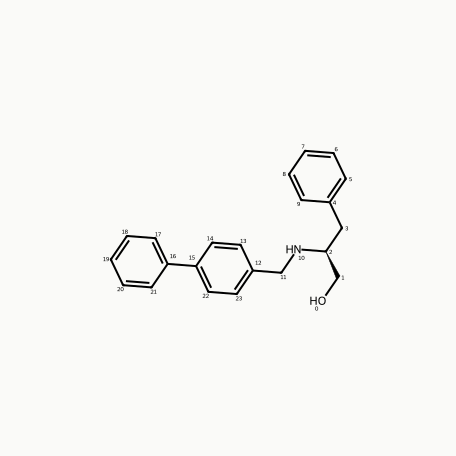 OC[C@H](Cc1ccccc1)NCc1ccc(-c2ccccc2)cc1